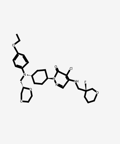 CCOc1ccc(N(C[C@H]2COCCO2)[C@H]2CC[C@H](n3ncc(NC[C@@]4(F)CCCOC4)c(Cl)c3=O)CC2)cc1